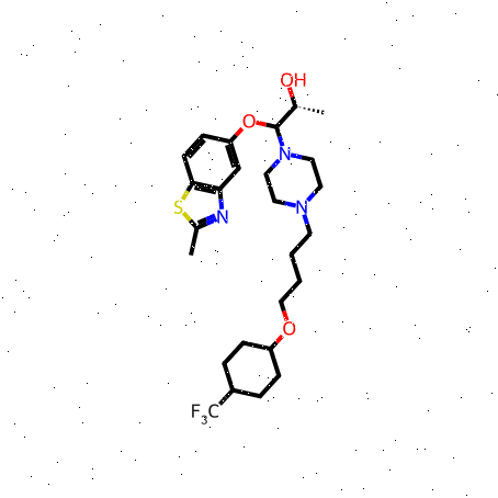 Cc1nc2cc(OC([C@@H](C)O)N3CCN(CCCCOC4CCC(C(F)(F)F)CC4)CC3)ccc2s1